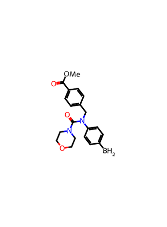 Bc1ccc(N(Cc2ccc(C(=O)OC)cc2)C(=O)N2CCOCC2)cc1